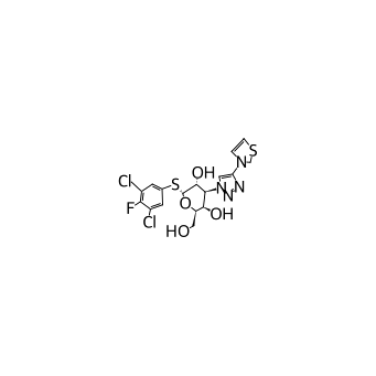 OC[C@H]1O[C@H](Sc2cc(Cl)c(F)c(Cl)c2)[C@H](O)[C@@H](n2cc(N3C=CSC3)nn2)[C@H]1O